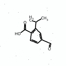 CC(C)c1cc(C=O)ccc1C(=O)O